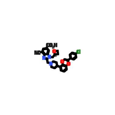 N#Cc1cc(C(=O)O)cc2c1nc(CN1CCC(c3cccc4c3OC[C@@H](c3ccc(Cl)cc3)O4)CC1)n2C[C@@H]1CCO1